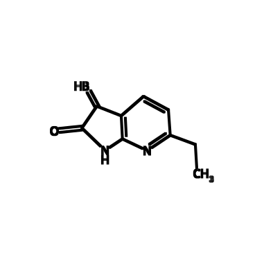 B=C1C(=O)Nc2nc(CC)ccc21